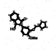 COc1ccc(N2C(=O)c3ccccc3C2O)cc1OCC1CCCC1